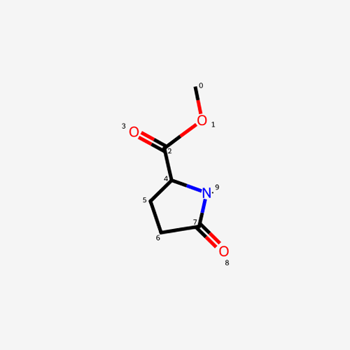 COC(=O)C1CCC(=O)[N]1